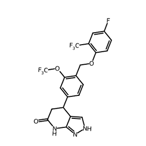 O=C1CC(c2ccc(COc3ccc(F)cc3C(F)(F)F)c(OC(F)(F)F)c2)c2c[nH]nc2N1